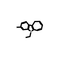 CCn1c2c(c3ccc(I)cc31)CC=CC=C2